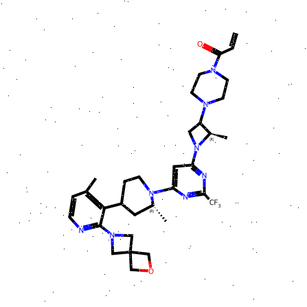 C=CC(=O)N1CCN(C2CN(c3cc(N4CCC(c5c(C)ccnc5N5CC6(COC6)C5)C[C@H]4C)nc(C(F)(F)F)n3)[C@@H]2C)CC1